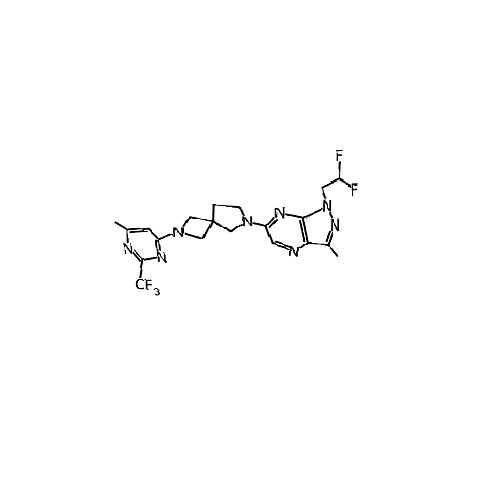 Cc1cc(N2CC3(CCN(c4cnc5c(C)nn(CC(F)F)c5n4)C3)C2)nc(C(F)(F)F)n1